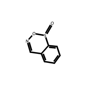 O=S1ON=Cc2ccccc21